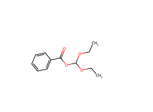 CCOC(OCC)OC(=O)c1ccccc1